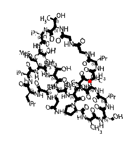 CSCC[C@H](NC(=O)[C@@H](NC(=O)[C@H](CC(C)C)NC(=O)[C@H](C)N)C(C)C)C(=O)N[C@H](C(=O)N[C@@H](CCC(N)=O)C(=O)N[C@H](C(=O)N1CCC[C@H]1C(=O)N[C@@H](C)C(=O)N[C@@H](CO)C(=O)N[C@H](C(=O)N[C@@H](CO)C(=O)N[C@@H](C)C(=O)N[C@@H](C)C(=O)N[C@H](C(=O)NCC(=O)NCC(=O)N[C@H](C(=O)N[C@H](C(=O)N[C@H](C(=O)O)[C@@H](C)O)C(C)C)[C@@H](C)O)C(C)C)C(C)C)[C@@H](C)O)[C@@H](C)O